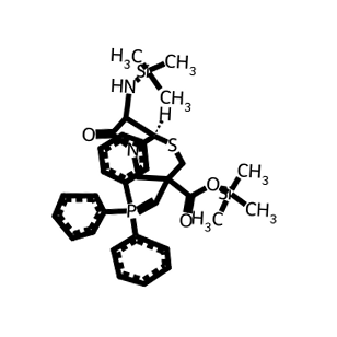 C[Si](C)(C)NC1C(=O)N2CC(C=P(c3ccccc3)(c3ccccc3)c3ccccc3)(C(=O)O[Si](C)(C)C)CS[C@H]12